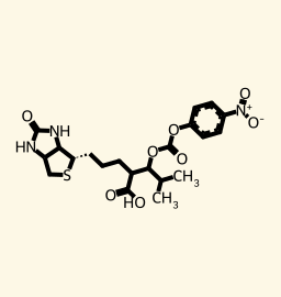 CC(C)C(OC(=O)Oc1ccc([N+](=O)[O-])cc1)C(CCC[C@@H]1SCC2NC(=O)NC21)C(=O)O